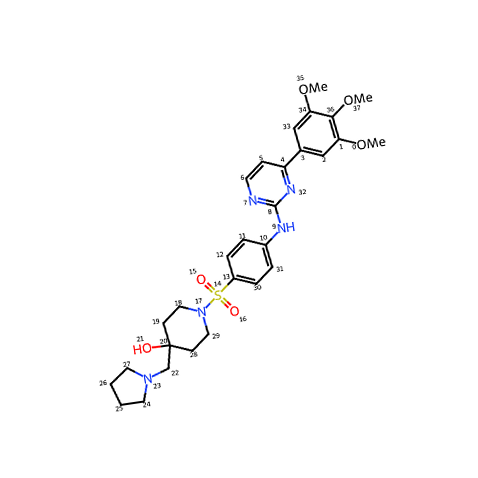 COc1cc(-c2ccnc(Nc3ccc(S(=O)(=O)N4CCC(O)(CN5CCCC5)CC4)cc3)n2)cc(OC)c1OC